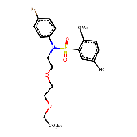 CCOC(=O)COCCOCCN(c1ccc(Br)cc1)S(=O)(=O)c1cc(N=O)ccc1OC